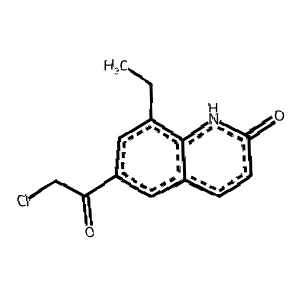 CCc1cc(C(=O)CCl)cc2ccc(=O)[nH]c12